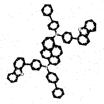 c1ccc(-c2ccc(N(c3ccc(-c4cccc5c4oc4ccccc45)cc3)c3ccc4ccc5c(N(c6ccc(-c7ccccc7)cc6)c6ccc(-c7cccc8c7oc7ccccc78)cc6)ccc6ccc3c4c65)cc2)cc1